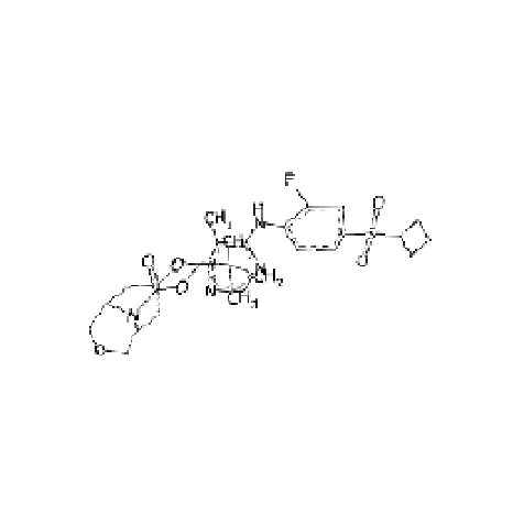 Cc1c(Nc2ccc(S(=O)(=O)C3CCC3)cc2F)ncnc1OC1CC2COCC(C1)N2C(=O)OCC(C)(C)C